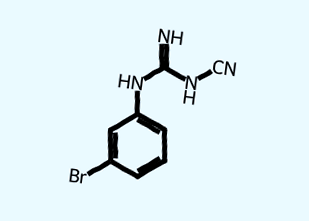 N#CNC(=N)Nc1cccc(Br)c1